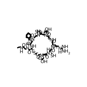 CCNC(=O)CNC(=O)[C@@H]1CSCC(=O)N[C@@H](CC(=O)O)C(=O)N[C@@H](CS)C(=O)N[C@@H](CCCNC(=N)N)C(=O)NCC(=O)N[C@@H](CC(=O)O)C(=O)N[C@@H](CS)C(=O)N[C@@H](Cc2ccccc2)C(=O)N1